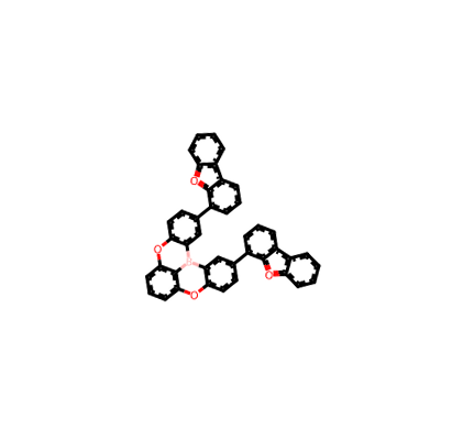 c1cc2c3c(c1)Oc1ccc(-c4cccc5c4oc4ccccc45)cc1B3c1cc(-c3cccc4c3oc3ccccc34)ccc1O2